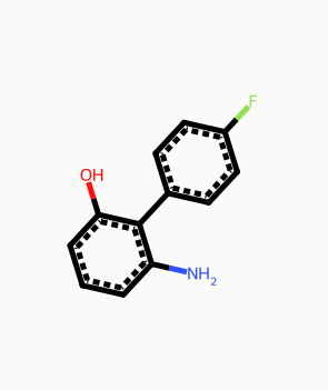 Nc1cccc(O)c1-c1ccc(F)cc1